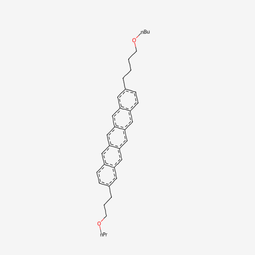 CCCCOCCCCc1ccc2cc3cc4cc5cc(CCCOCCC)ccc5cc4cc3cc2c1